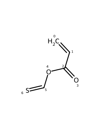 C=CC(=O)OC=S